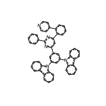 c1ccc(-c2nc(-c3cc(-n4c5ccccc5c5ccccc54)cc(-n4c5ccccc5c5ccccc54)c3)cc(-c3ccccc3-c3ccncc3)n2)cc1